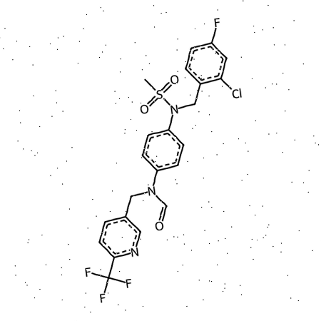 CS(=O)(=O)N(Cc1ccc(F)cc1Cl)c1ccc(N(C=O)Cc2ccc(C(F)(F)F)nc2)cc1